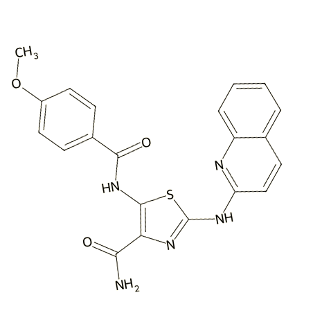 COc1ccc(C(=O)Nc2sc(Nc3ccc4ccccc4n3)nc2C(N)=O)cc1